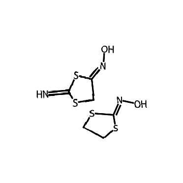 N=C1SC/C(=N/O)S1.ON=C1SCCS1